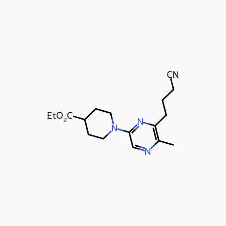 CCOC(=O)C1CCN(c2cnc(C)c(CCCC#N)n2)CC1